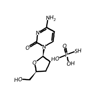 Nc1ccn([C@H]2CC[C@@H](CO)O2)c(=O)n1.O=P(O)(O)S